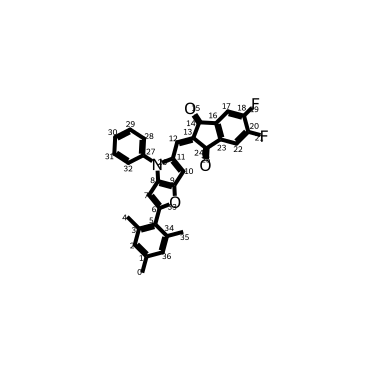 Cc1cc(C)c(-c2cc3c(cc(C=C4C(=O)c5cc(F)c(F)cc5C4=O)n3-c3ccccc3)o2)c(C)c1